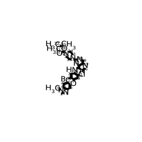 Cn1cnc2cc(Oc3cc(Cl)c(Nc4ncnc5cnc(N6CCN(C(=O)OC(C)(C)C)CC6)nc45)cc3Br)ccc21